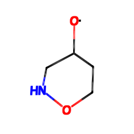 [O]C1CCONC1